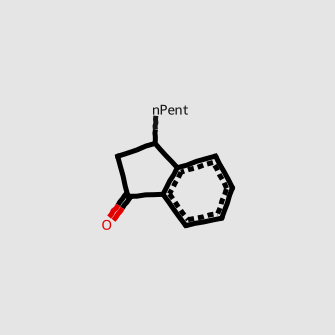 CCCCCC1CC(=O)c2ccccc21